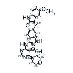 COc1ccc2c(c1)[C@]1(C[C@H]1c1ccc3c(Nc4ncnc(N5CCOCC5)c4OC)n[nH]c3c1)C(=O)N2